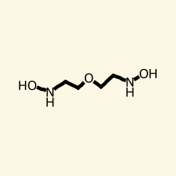 ONCCOCCNO